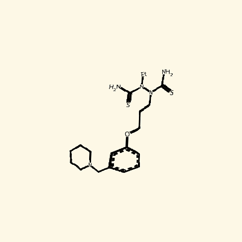 CCN(C(N)=S)N(CCCOc1cccc(CN2CCCCC2)c1)C(N)=S